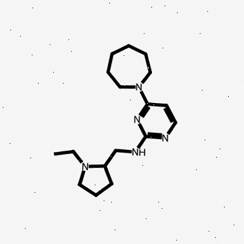 CCN1CCCC1CNc1nccc(N2CCCCCC2)n1